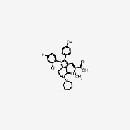 CCC(=Cc1c2c(n(-c3ccc(F)cc3Cl)c1-c1ccc(O)cc1)CCN(N1CCCCC1)C2=O)C(=O)O